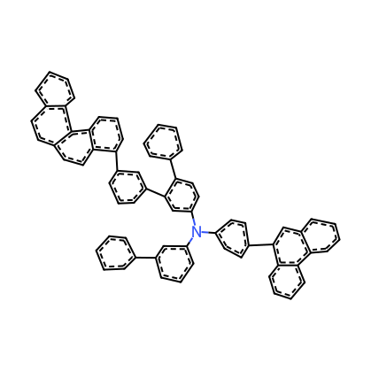 c1ccc(-c2cccc(N(c3ccc(-c4cc5ccccc5c5ccccc45)cc3)c3ccc(-c4ccccc4)c(-c4cccc(-c5cccc6c5ccc5ccc7ccccc7c56)c4)c3)c2)cc1